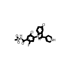 CS(=O)(=O)NC(=O)c1cc(Cl)c(-n2nc(C3=CCNCC3)c3cc(Cl)ccc32)cc1F